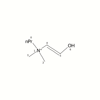 CCC[N+](C)(C)C=CO